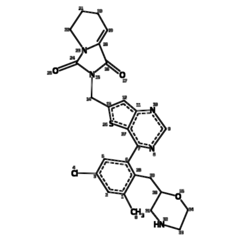 Cc1cc(Cl)cc(-c2ncnc3cc(CN4C(=O)C5=CCCCN5C4=O)sc23)c1CC1CNCCO1